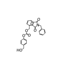 O=C(OCC12C=CC(O1)C1C(=O)N(Cc3ccccc3)C(=O)C12)Oc1ccc(CO)cc1